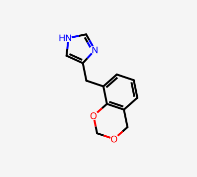 c1cc2c(c(Cc3c[nH]cn3)c1)OCOC2